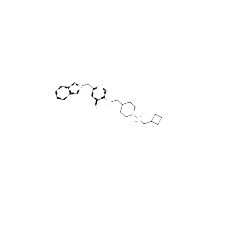 O=c1cc(Cn2cc3ccccc3c2)occ1OCC1CCN(S(=O)(=O)CC2CCC2)CC1